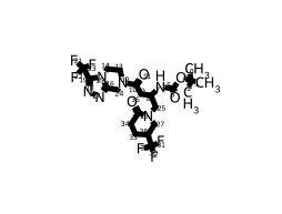 CC(C)(C)OC(=O)NC(CC(=O)N1CCn2c(nnc2C(F)(F)F)C1)CN1CC(C(F)(F)F)CCC1=O